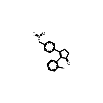 O=C1CCC(c2ccc(C[SH](=O)=O)cc2)=C1c1ccccc1F